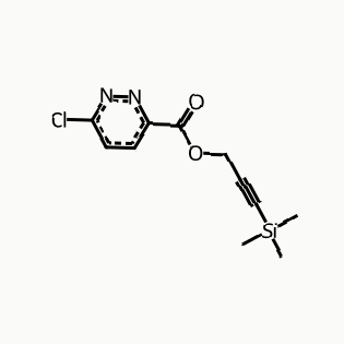 C[Si](C)(C)C#CCOC(=O)c1ccc(Cl)nn1